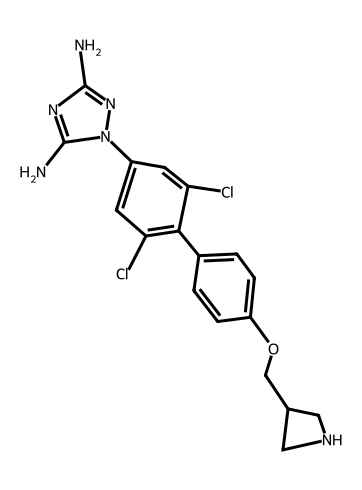 Nc1nc(N)n(-c2cc(Cl)c(-c3ccc(OCC4CNC4)cc3)c(Cl)c2)n1